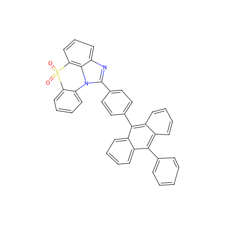 O=S1(=O)c2ccccc2-n2c(-c3ccc(-c4c5ccccc5c(-c5ccccc5)c5ccccc45)cc3)nc3cccc1c32